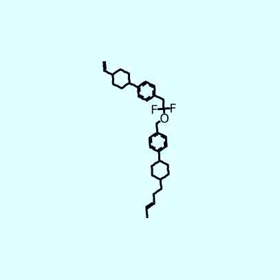 C=CC1CCC(c2ccc(CC(F)(F)OCc3ccc(C4CCC(CCC=CC)CC4)cc3)cc2)CC1